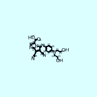 N#CC1=C(C#N)c2nnc(C(=O)O)n2C1=Nc1ccc(N(CCO)CCO)cc1